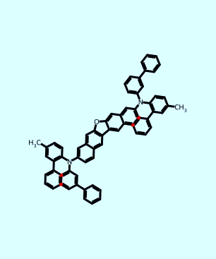 Cc1ccc(N(c2cccc(-c3ccccc3)c2)c2ccc3cc4c(cc3c2)oc2cc3cc(N(c5cccc(-c6ccccc6)c5)c5ccc(C)cc5-c5ccccc5)ccc3cc24)c(-c2ccccc2)c1